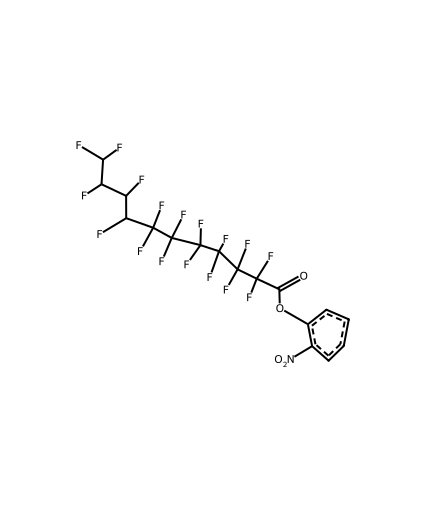 O=C(Oc1ccccc1[N+](=O)[O-])C(F)(F)C(F)(F)C(F)(F)C(F)(F)C(F)(F)C(F)(F)C(F)C(F)C(F)C(F)F